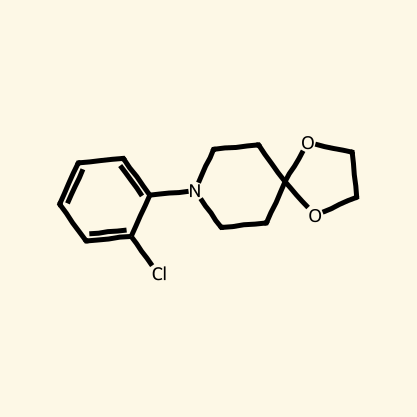 Clc1ccccc1N1CCC2(CC1)OCCO2